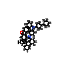 CC1(C)c2ccccc2-c2cccc(N(c3ccc4c(c3)c3ccccc3n4-c3ccc(-c4ccccc4)cc3)c3cccc4oc5ccccc5c34)c21